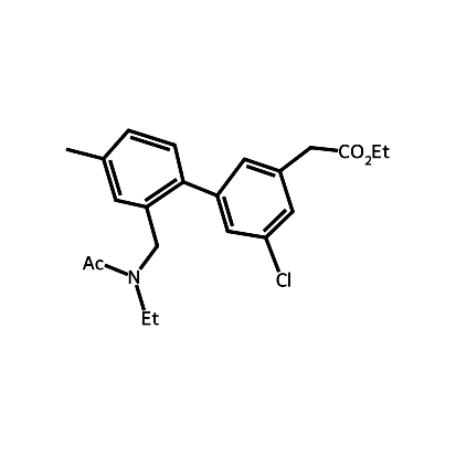 CCOC(=O)Cc1cc(Cl)cc(-c2ccc(C)cc2CN(CC)C(C)=O)c1